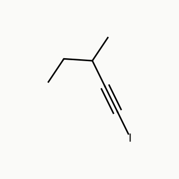 CCC(C)C#CI